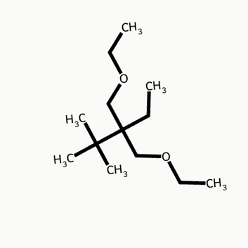 CCOCC(CC)(COCC)C(C)(C)C